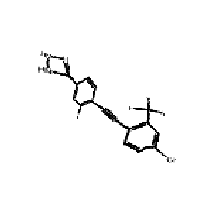 Oc1ccc(C#Cc2ccc(-c3n[nH][nH]3)cc2I)c(C(F)(F)F)c1